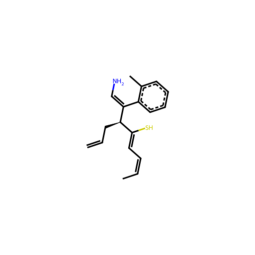 C=CC[C@H](/C(S)=C/C=C\C)/C(=C/N)c1ccccc1C